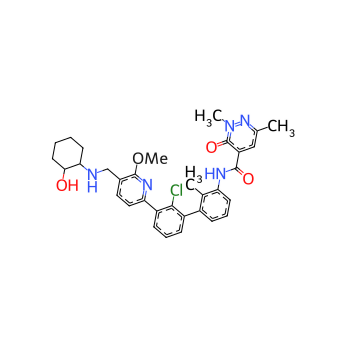 COc1nc(-c2cccc(-c3cccc(NC(=O)c4cc(C)nn(C)c4=O)c3C)c2Cl)ccc1CNC1CCCCC1O